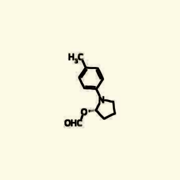 Cc1ccc(N2CCC[C@@H]2OC=O)cc1